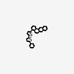 c1ccc(-c2ccc(-c3ccc(-c4cccc5c4ccc4cc6ccccc6cc45)s3)s2)cc1